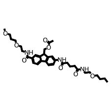 CCCCOCCNC(=O)CCCC(=O)Nc1ccc2c(c1)C(COC(C)=O)c1cc(C(=O)NCCOCCCOC)ccc1-2